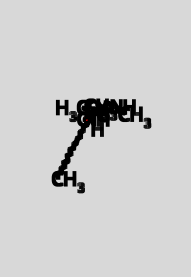 CCC=CCC=CCC=CCC=CCC=CCCCC(=O)N[C@@H](CC(C)C)C(=O)Nc1nc2c(s1)C[C@H](NCCC)CC2